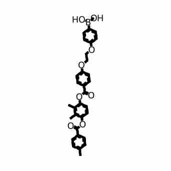 Cc1ccc(C(=O)Oc2ccc(OC(=O)c3ccc(OCCOc4ccc(B(O)O)cc4)cc3)c(C)c2C)cc1